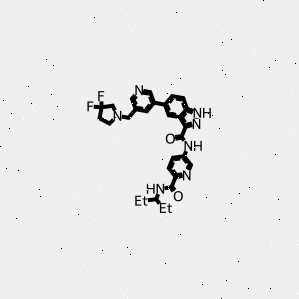 CCC(CC)NC(=O)c1ccc(NC(=O)c2n[nH]c3ccc(-c4cncc(CN5CCC(F)(F)C5)c4)cc23)cn1